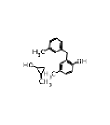 CC1CC1O.Cc1cccc(Cc2cc(C)ccc2O)c1